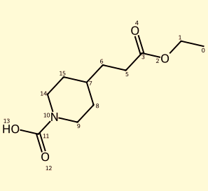 CCOC(=O)CCC1CCN(C(=O)O)CC1